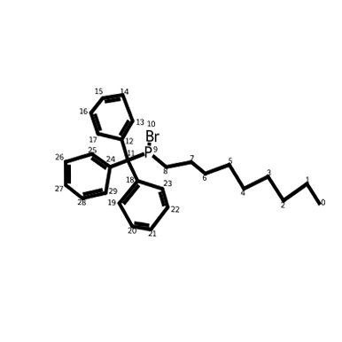 CCCCCCCCCP(Br)C(c1ccccc1)(c1ccccc1)c1ccccc1